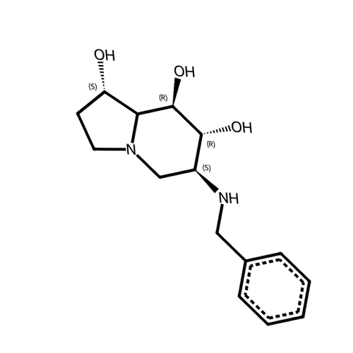 O[C@@H]1[C@@H](NCc2ccccc2)CN2CC[C@H](O)C2[C@H]1O